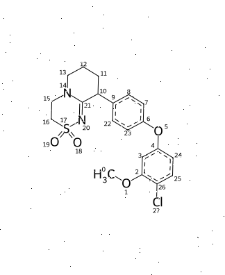 COc1cc(Oc2ccc(C3CCCN4CCS(=O)(=O)N=C34)cc2)ccc1Cl